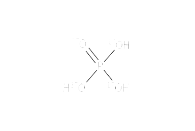 [17O]=P([17OH])([17OH])[17OH]